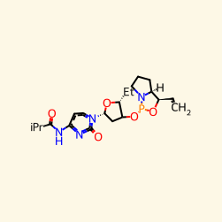 C=C[C@H]1OP(OC2C[C@H](n3ccc(NC(=O)C(C)C)nc3=O)O[C@@H]2CC)N2CCC[C@@H]12